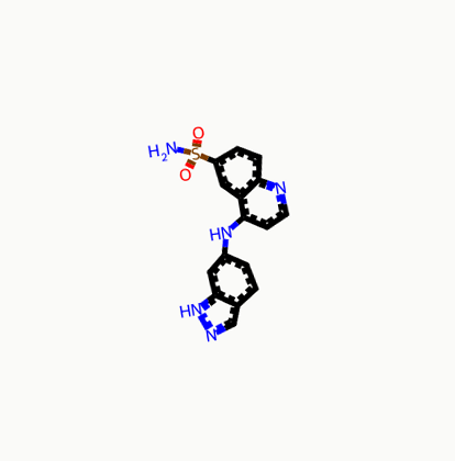 NS(=O)(=O)c1ccc2nccc(Nc3ccc4cn[nH]c4c3)c2c1